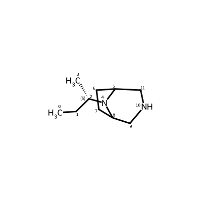 CC[C@H](C)N1C2CCC1CNC2